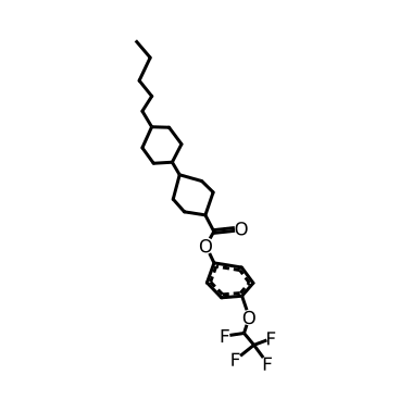 CCCCCC1CCC(C2CCC(C(=O)Oc3ccc(OC(F)C(F)(F)F)cc3)CC2)CC1